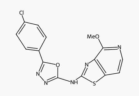 COc1nccc2sc(Nc3nnc(-c4ccc(Cl)cc4)o3)nc12